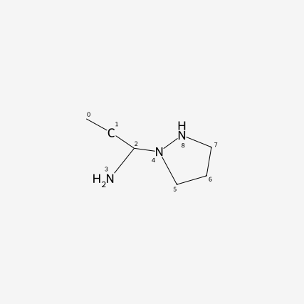 CCC(N)N1CCCN1